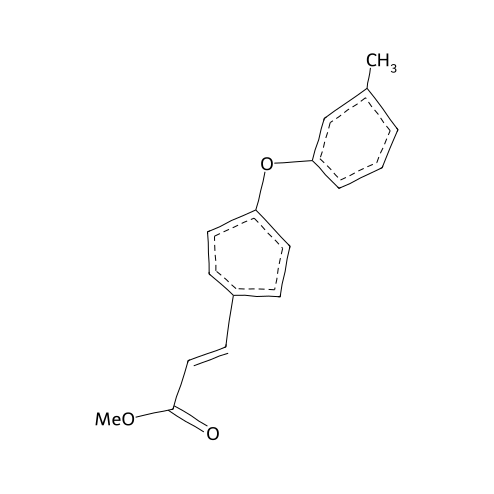 COC(=O)/C=C/c1ccc(Oc2cccc(C)c2)cc1